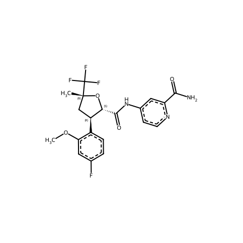 COc1cc(F)ccc1[C@H]1C[C@](C)(C(F)(F)F)O[C@@H]1C(=O)Nc1ccnc(C(N)=O)c1